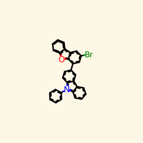 Brc1cc(-c2ccc3c(c2)c2ccccc2n3-c2ccccc2)c2oc3c(c2c1)=C=C=CC=3